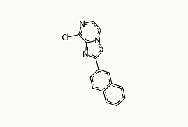 Clc1nccn2cc(-c3ccc4ccccc4c3)nc12